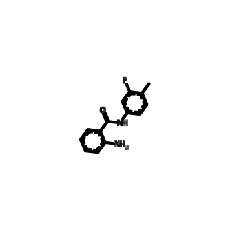 Cc1ccc(NC(=O)c2ccccc2N)cc1F